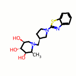 C[C@@H]1[C@@H](O)[C@H](O)[C@@H](O)CN1C[C@H]1CCN(c2nc3ccccc3s2)C1